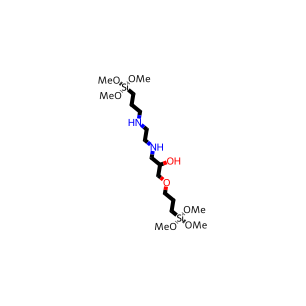 CO[Si](CCCNCCNCC(O)COCCC[Si](OC)(OC)OC)(OC)OC